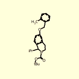 Cc1ccccc1COc1ccc2c(c1)CCN(C(=O)OC(C)(C)C)C2C(C)C